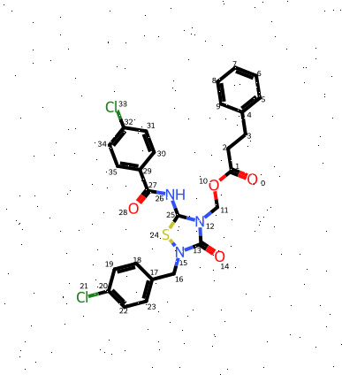 O=C(CCc1ccccc1)OCN1C(=O)N(Cc2ccc(Cl)cc2)SC1NC(=O)c1ccc(Cl)cc1